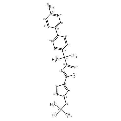 CC(C)(O)Cn1cc(-c2nc(C(C)(C)c3ccc(-c4cnc(N)cn4)nc3)no2)cn1